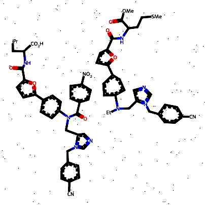 CC(C)CC(NC(=O)c1ccc(-c2ccc(N(Cc3cncn3Cc3ccc(C#N)cc3)C(=O)c3ccc([N+](=O)[O-])cc3)cc2)o1)C(=O)O.CCN(Cc1cncn1Cc1ccc(C#N)cc1)c1ccc(-c2ccc(C(=O)NC(CCSC)C(=O)OC)o2)cc1